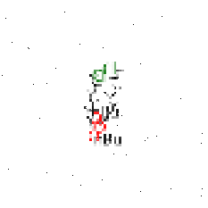 CCCCOC(CCCC(C)CC(C)CC(C)CC(C)CC(C)Cl)OC(CCCC(C)CC(C)CC(C)CC(C)CC(C)Cl)OCCCC